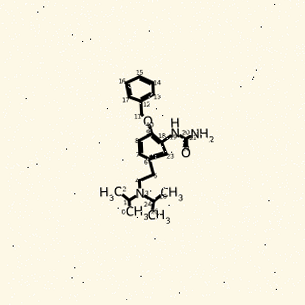 CC(C)N(CCc1ccc(OCc2ccccc2)c(NC(N)=O)c1)C(C)C